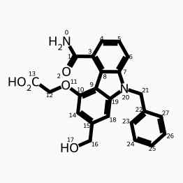 NC(=O)c1cccc2c1c1c(OCC(=O)O)cc(CO)cc1n2Cc1ccccc1